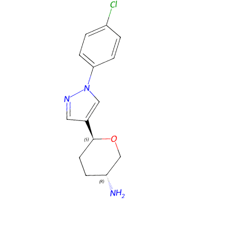 N[C@@H]1CC[C@@H](c2cnn(-c3ccc(Cl)cc3)c2)OC1